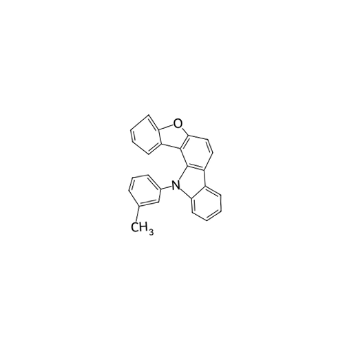 Cc1cccc(-n2c3ccccc3c3ccc4oc5ccccc5c4c32)c1